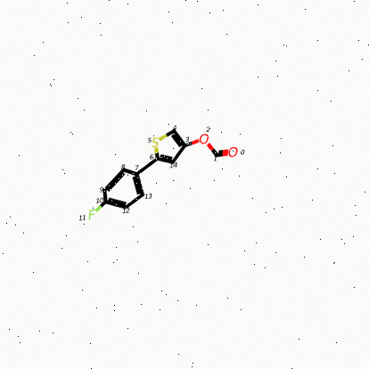 O=COc1csc(-c2ccc(F)cc2)c1